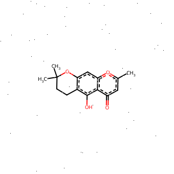 Cc1cc(=O)c2c(O)c3c(cc2o1)OC(C)(C)CC3